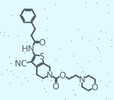 N#Cc1c(NC(=O)CCc2ccccc2)sc2c1CCN(C(=O)OCCN1CCOCC1)C2